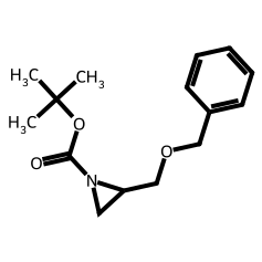 CC(C)(C)OC(=O)N1CC1COCc1ccccc1